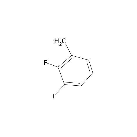 [CH2]c1cccc(I)c1F